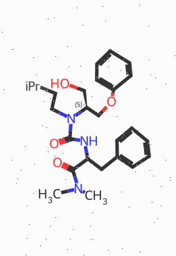 CC(C)CCN(C(=O)NC(Cc1ccccc1)C(=O)N(C)C)[C@@H](CO)COc1ccccc1